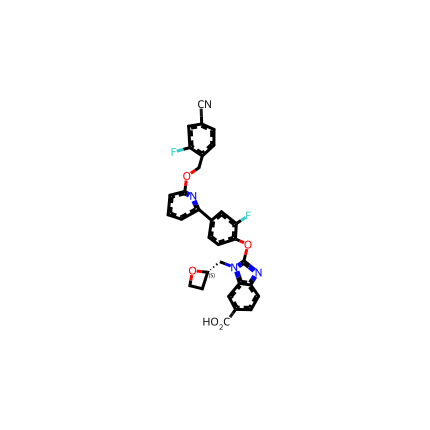 N#Cc1ccc(COc2cccc(-c3ccc(Oc4nc5ccc(C(=O)O)cc5n4C[C@@H]4CCO4)c(F)c3)n2)c(F)c1